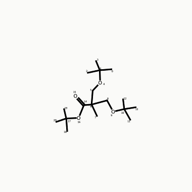 CC(C)(C)OCC(C)(COC(C)(C)C)C(=O)OC(C)(C)C